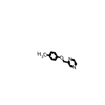 Cc1ccc(OCc2cnccn2)cc1